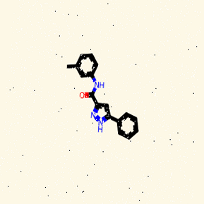 Cc1cccc(NC(=O)c2cc(-c3ccccc3)[nH]n2)c1